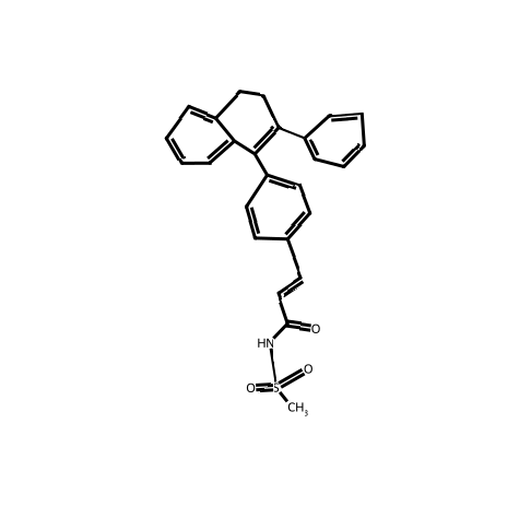 CS(=O)(=O)NC(=O)C=Cc1ccc(C2=C(c3ccccc3)CCc3ccccc32)cc1